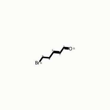 O=CC=CCCBr